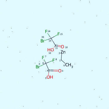 C[CH2][Zn].O=C(O)C(F)(F)Br.O=C(O)C(F)(F)Br